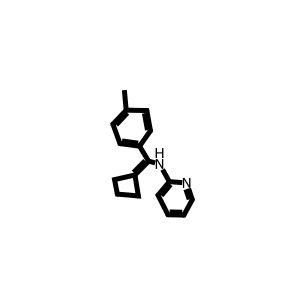 Cc1ccc(C(Nc2ccccn2)=C2CCC2)cc1